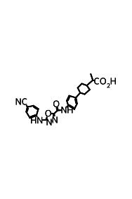 C[C@@H](C(=O)O)C1CCC(c2ccc(NC(=O)c3nnc(Nc4ccc(C#N)cc4)o3)cc2)CC1